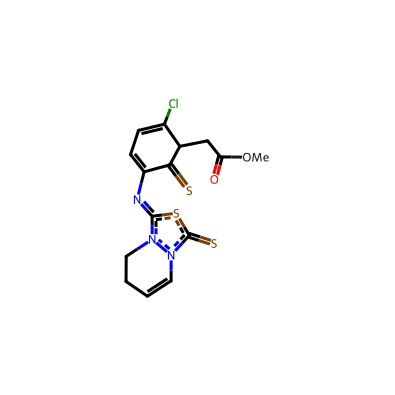 COC(=O)CC1C(=S)C(N=c2sc(=S)n3n2CCC=C3)=CC=C1Cl